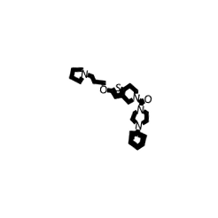 O=C(N1CCN(c2ccccc2)CC1)N1CCc2sc(OCCCN3CCCC3)cc2C1